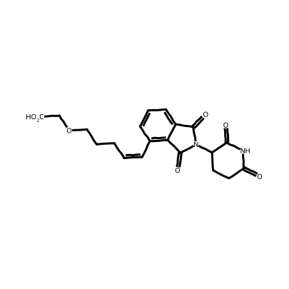 O=C(O)COCCC/C=C\c1cccc2c1C(=O)N(C1CCC(=O)NC1=O)C2=O